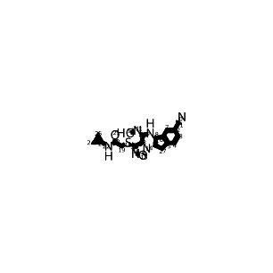 N#Cc1ccc2c(c1)C(N/C(=N/O)c1nonc1SCC(=O)NC1CC1)CC2